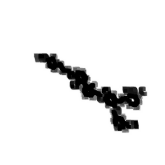 Cc1c(COc2cc(OCc3cncc(C#N)c3)c(CCN3CCCCC3C(=O)O)cc2Cl)cccc1-c1cccc(OCCCN2CC[C@@H](O)C2)c1Cl